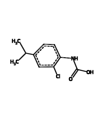 CC(C)c1ccc(NC(=O)O)c(Cl)c1